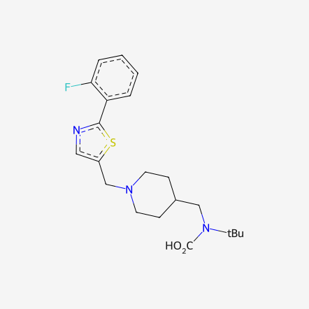 CC(C)(C)N(CC1CCN(Cc2cnc(-c3ccccc3F)s2)CC1)C(=O)O